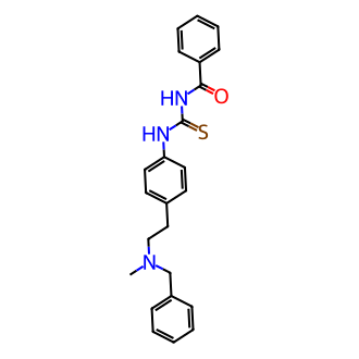 CN(CCc1ccc(NC(=S)NC(=O)c2ccccc2)cc1)Cc1ccccc1